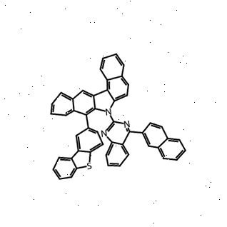 c1ccc2cc(-c3nc(-n4c5ccc6ccccc6c5c5cc6ccccc6c(-c6ccc7sc8ccccc8c7c6)c54)nc4ccccc34)ccc2c1